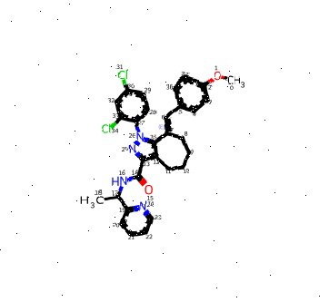 COc1ccc(/C=C2\CCCCc3c(C(=O)NC(C)c4ccccn4)nn(-c4ccc(Cl)cc4Cl)c32)cc1